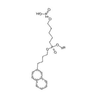 CCCOP(=O)(CCCCCO[PH](=O)O)OCCCCc1ccc2ccccc2c1